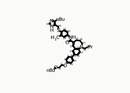 CCCCOCCOc1ccc(-c2ccc3c(c2)C=C(C(=O)Nc2ccc(SCc4[nH]cnc4CCCC)c(C)c2)CCCN3CC(C)C)cc1